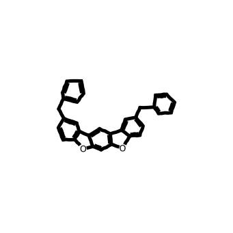 c1ccc(Cc2ccc3oc4cc5oc6ccc(Cc7ccccc7)cc6c5cc4c3c2)cc1